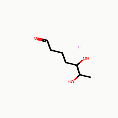 CC(O)C(O)CCCC=O.I